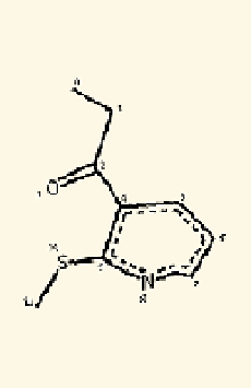 CCC(=O)c1cccnc1SC